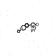 CC(C)CN1N=C(c2ccc3c(c2)CCN(C2CCC2)CC3)CCC1=O